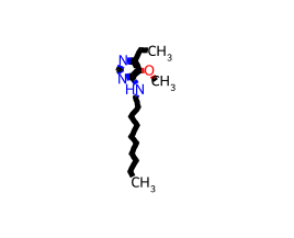 CCCCCCCCCCNc1ncnc(CC)c1OC